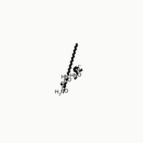 CCCCCCCCCCCCCCCCCCNC(=O)OCC(COC(N)=O)OC.CCNC(=O)c1cccc[n+]1CC.[I-]